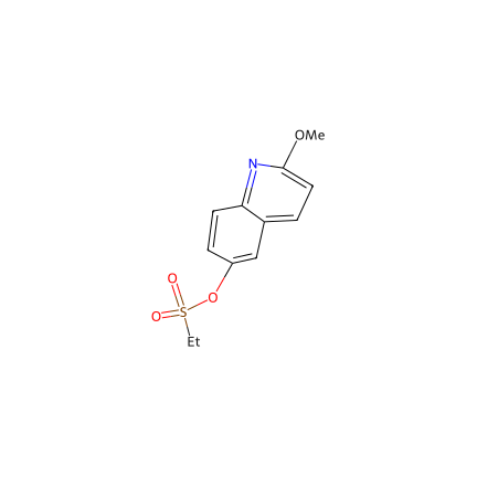 CCS(=O)(=O)Oc1ccc2nc(OC)ccc2c1